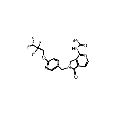 CC(C)C(=O)Nc1nccc2c1CN(Cc1ccc(OCC(F)(F)C(F)F)nc1)C2=O